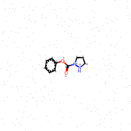 O=C(Oc1ccccc1)N1CCCN1